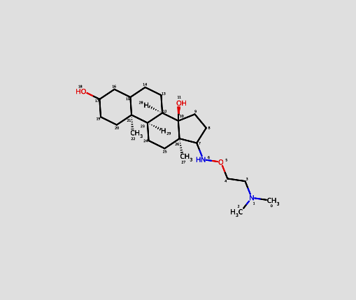 CN(C)CCONC1CC[C@@]2(O)[C@@H]3CCC4CC(O)CC[C@]4(C)[C@@H]3CC[C@]12C